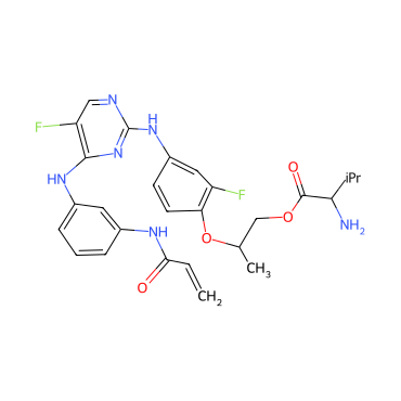 C=CC(=O)Nc1cccc(Nc2nc(Nc3ccc(OC(C)COC(=O)C(N)C(C)C)c(F)c3)ncc2F)c1